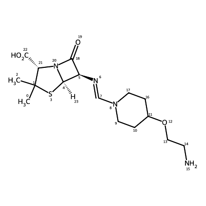 CC1(C)S[C@@H]2[C@H](N=CN3CCC(OCCN)CC3)C(=O)N2[C@H]1C(=O)O